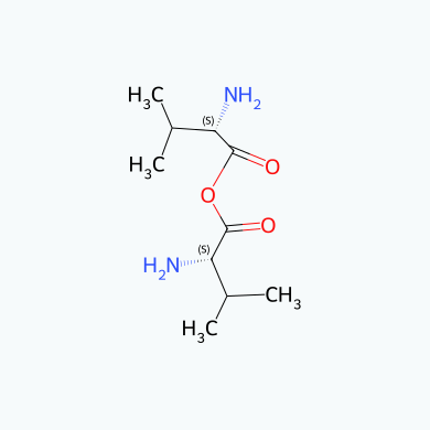 CC(C)[C@H](N)C(=O)OC(=O)[C@@H](N)C(C)C